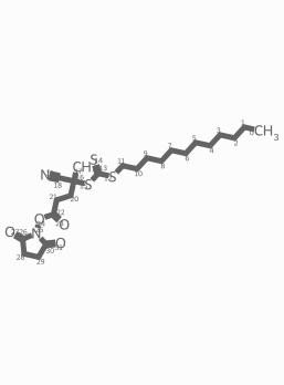 CCCCCCCCCCCCSC(=S)SC(C)(C#N)CCC(=O)ON1C(=O)CCC1=O